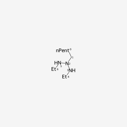 CCCCCCN(NCC)NCC